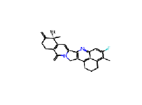 C=C1C2=C(C=C3c4nc5cc(F)c(C)c6c5c(c4CN13)CCC6)[C@@](C)(CC)C(=C)CC2